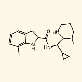 Cc1cccc2c1NC(C(=O)N[C@H](C1CC1)C1NCCCC1C)C2